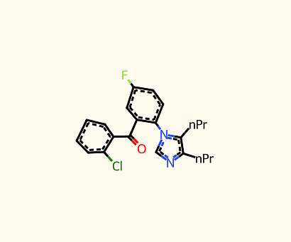 CCCc1ncn(-c2ccc(F)cc2C(=O)c2ccccc2Cl)c1CCC